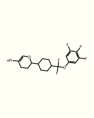 CCCC1=COC(C2CCC(C(F)(F)Oc3cc(F)c(F)c(F)c3)CC2)CC1